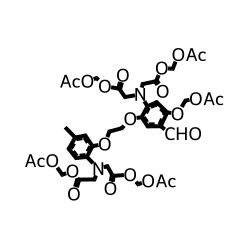 CC(=O)OCOC(=O)CN(CC(=O)OCOC(C)=O)c1ccc(C)cc1OCCOc1cc(C=O)c(OCOC(C)=O)cc1N(CC(=O)OCOC(C)=O)CC(=O)OCOC(C)=O